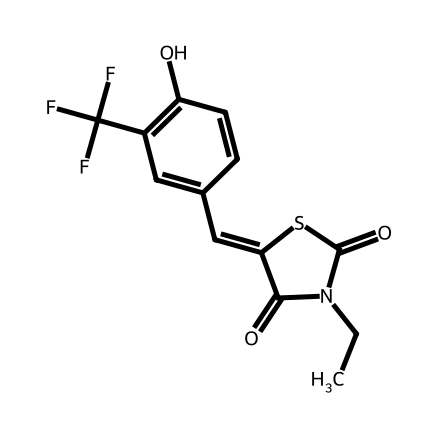 CCN1C(=O)S/C(=C\c2ccc(O)c(C(F)(F)F)c2)C1=O